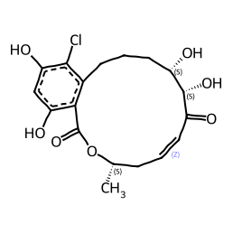 C[C@H]1C/C=C\C(=O)[C@@H](O)[C@@H](O)CCCc2c(Cl)c(O)cc(O)c2C(=O)O1